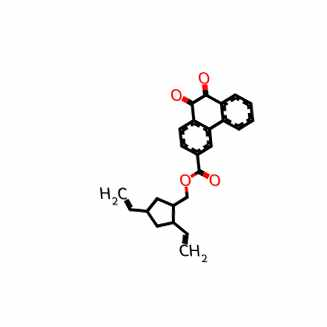 C=CC1CC(C=C)C(COC(=O)c2ccc3c(c2)-c2ccccc2C(=O)C3=O)C1